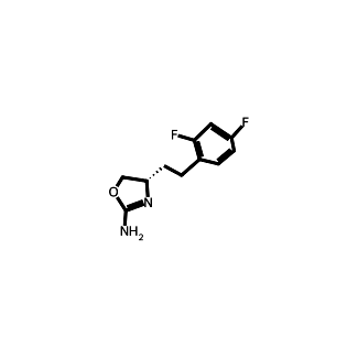 NC1=N[C@@H](CCc2ccc(F)cc2F)CO1